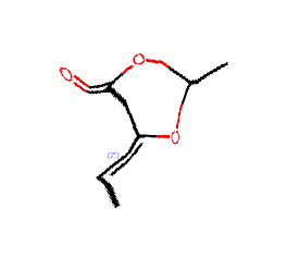 C/C=C1\OC(C)OC1=O